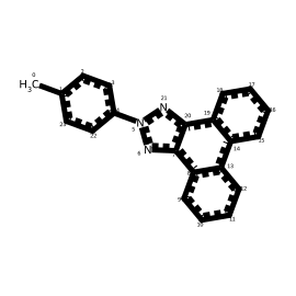 Cc1ccc(-n2nc3c4ccccc4c4ccccc4c3n2)cc1